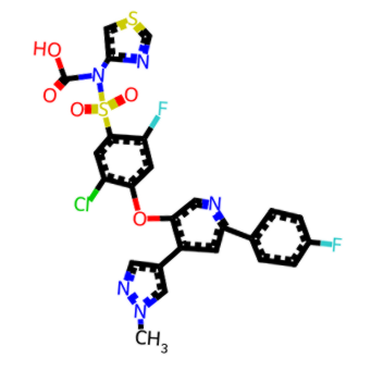 Cn1cc(-c2cc(-c3ccc(F)cc3)ncc2Oc2cc(F)c(S(=O)(=O)N(C(=O)O)c3cscn3)cc2Cl)cn1